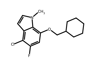 Cn1ccc2c(Cl)c(F)cc(OCC3CCCCC3)c21